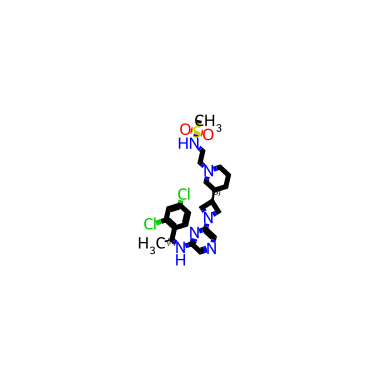 C[C@@H](Nc1cncc(N2CC([C@@H]3CCCN(CCNS(C)(=O)=O)C3)C2)n1)c1ccc(Cl)cc1Cl